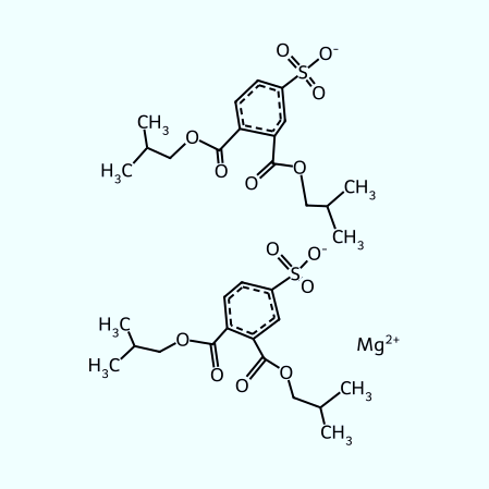 CC(C)COC(=O)c1ccc(S(=O)(=O)[O-])cc1C(=O)OCC(C)C.CC(C)COC(=O)c1ccc(S(=O)(=O)[O-])cc1C(=O)OCC(C)C.[Mg+2]